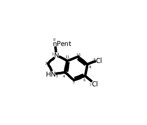 CCCCCN1CNc2cc(Cl)c(Cl)cc21